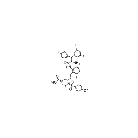 COc1ccc(S(=O)(=O)N2C(C)CN(C(=O)O)CC2CCc2c(F)cccc2NC(=O)[C@@H](N)[C@@H](c2ccc(F)cc2)c2cc(F)cc(F)c2)cc1